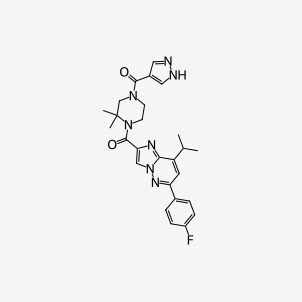 CC(C)c1cc(-c2ccc(F)cc2)nn2cc(C(=O)N3CCN(C(=O)c4cn[nH]c4)CC3(C)C)nc12